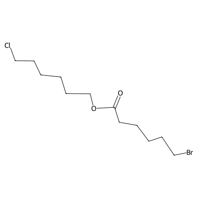 O=C(CCCCCBr)OCCCCCCCl